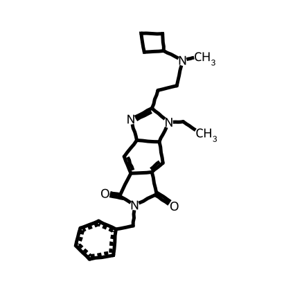 CCN1C(CCN(C)C2CCC2)=NC2C=C3C(=O)N(Cc4ccccc4)C(=O)C3=CC21